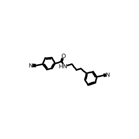 N#Cc1ccc(C(=O)NCCCc2cccc(C#N)c2)cc1